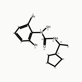 CC(C)c1cccc(C(C)C)c1N(S)C(=O)NC(C)C1CCCC1